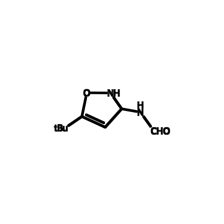 CC(C)(C)C1=CC(NC=O)NO1